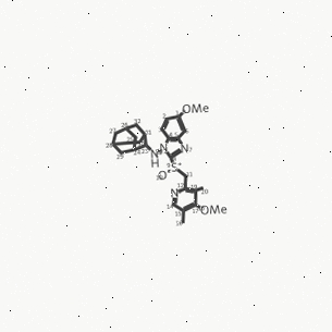 COc1ccc2c(c1)nc([S@@+]([O-])Cc1ncc(C)c(OC)c1C)n2NC1C2CC3CC(C2)CC1C3